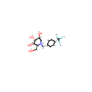 OC[C@H]1[C@@H](O)[C@H](O)[C@@H](O)CN1C[C@H]1CC[C@@H](C(F)(F)F)CC1